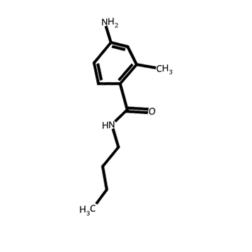 CCCCNC(=O)c1ccc(N)cc1C